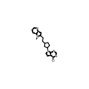 Cn1c(CCC2CCC(n3ccc4c(Cl)ncnc43)C2)cc2ncccc21